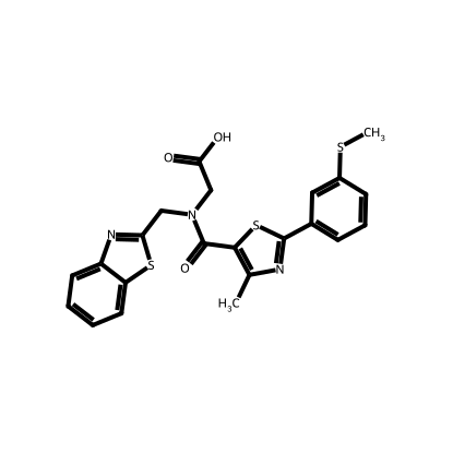 CSc1cccc(-c2nc(C)c(C(=O)N(CC(=O)O)Cc3nc4ccccc4s3)s2)c1